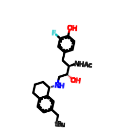 CC(=O)N[C@H](Cc1ccc(O)c(F)c1)[C@H](O)CN[C@H]1CCCc2ccc(CC(C)(C)C)cc21